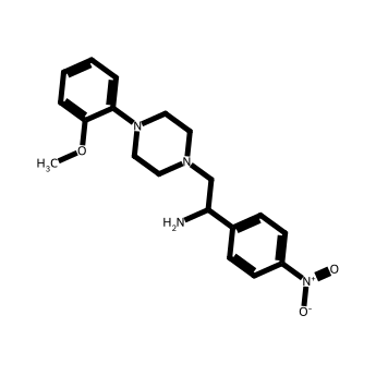 COc1ccccc1N1CCN(CC(N)c2ccc([N+](=O)[O-])cc2)CC1